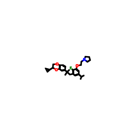 CC(C)c1cc(CC(C)(C)c2ccc3c(c2)OC(C2CC2)CO3)c(F)c(OCCN2CCCC2)c1